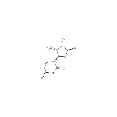 C=C1[C@H](n2ccc(=O)[nH]c2=O)O[C@H](CC)[C@H]1C